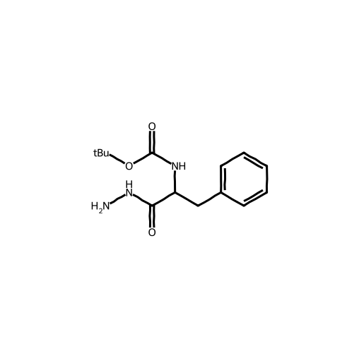 CC(C)(C)OC(=O)NC(Cc1ccccc1)C(=O)NN